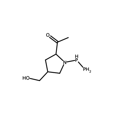 CC(=O)C1CC(CO)CN1PP